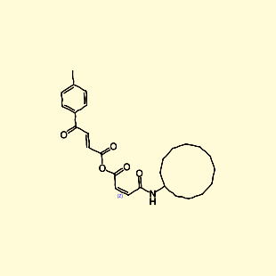 Cc1ccc(C(=O)C=CC(=O)OC(=O)/C=C\C(=O)NC2CCCCCCCCCCC2)cc1